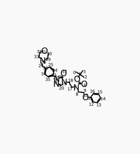 CC(C)(C)OC(=O)N(CCOc1ccccc1)CCn1cnn(-c2ccc(CN3CCOCC3)cc2)c1=O